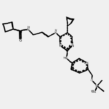 CC(C)(C)[Si](C)(C)OCc1ccc(Nc2ncc(C3CC3)c(NCCCNC(=O)C3CCC3)n2)cn1